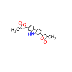 C=C1CC(c2ccc3c(c2)[nH]c2cc(C4CC(=C)C(=O)O4)ccc23)OC1=O